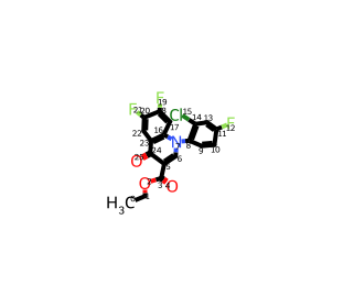 CCOC(=O)c1cn(-c2ccc(F)cc2Cl)c2cc(F)c(F)cc2c1=O